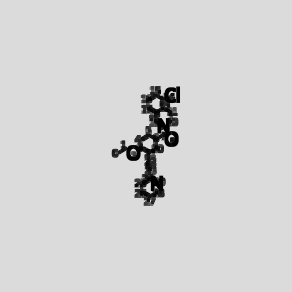 CCOc1ccc(C(=O)N2CCc3c(Cl)cccc3C2)cc1C#Cc1ccccn1